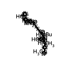 Cc1ncsc1-c1ccc([C@H](C)NC(=O)[C@@H]2C[C@@H](O)CN2C(=O)[C@@H](NC(=O)CCCCCCCC(=O)N2CCN(c3cc(-c4ccccc4O)nnc3N)CC2)C(C)(C)C)cc1